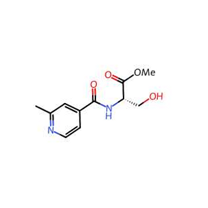 COC(=O)[C@H](CO)NC(=O)c1ccnc(C)c1